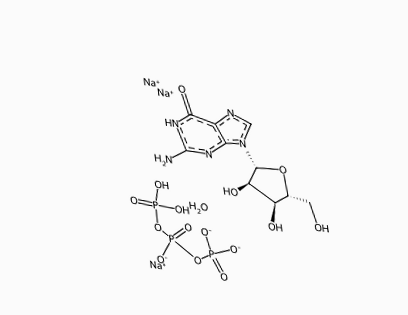 Nc1nc2c(ncn2[C@@H]2O[C@H](CO)[C@@H](O)[C@H]2O)c(=O)[nH]1.O.O=P([O-])([O-])OP(=O)([O-])OP(=O)(O)O.[Na+].[Na+].[Na+]